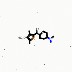 CCC(c1sc(C)c(C(=O)O)c1C)C1CCC(N(C)C)CC1